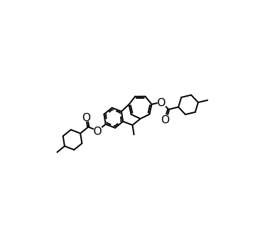 CC1CCC(C(=O)OC2=CC3C=C(C=C2)c2ccc(OC(=O)C4CCC(C)CC4)cc2C3C)CC1